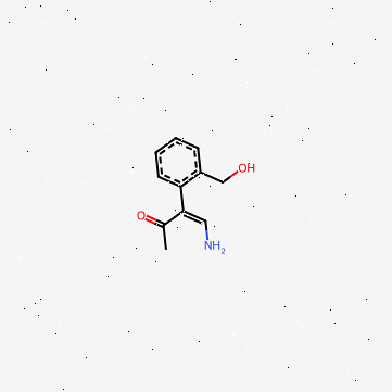 CC(=O)/C(=C\N)c1ccccc1CO